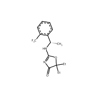 CCC1(CC)OC(N[C@@H](C)c2ccccc2C(F)(F)F)=NC1=O